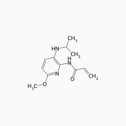 C=CC(=O)Nc1nc(OC)ccc1NC(C)C